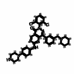 O=c1c2cnc(Nc3ccc(N4CCNCC4)cc3)nc2c(-c2cccc(CN3CCCCC3)c2)nn1-c1c(Cl)cccc1Cl